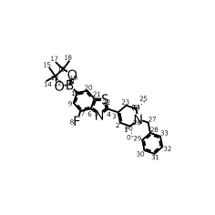 C[C@@H]1C=C(c2nc3c(F)cc(B4OC(C)(C)C(C)(C)O4)cc3s2)C[C@H](C)N1Cc1ccccc1